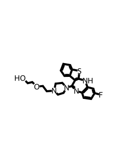 OCCOCCN1CCN(C2=Nc3ccc(F)cc3Nc3sc4ccccc4c32)CC1